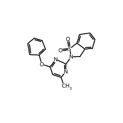 Cc1cc(Oc2ccccc2)nc(N2Cc3ccccc3S2(=O)=O)n1